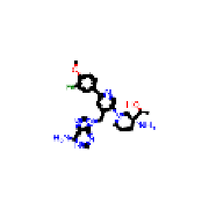 COc1ccc(-c2cc(Cn3cnc4c(N)ncnc43)c(N3CCC[C@](N)([C@H](C)O)C3)cn2)cc1F